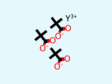 CC(C)(C)C(=O)[O-].CC(C)(C)C(=O)[O-].CC(C)(C)C(=O)[O-].[Y+3]